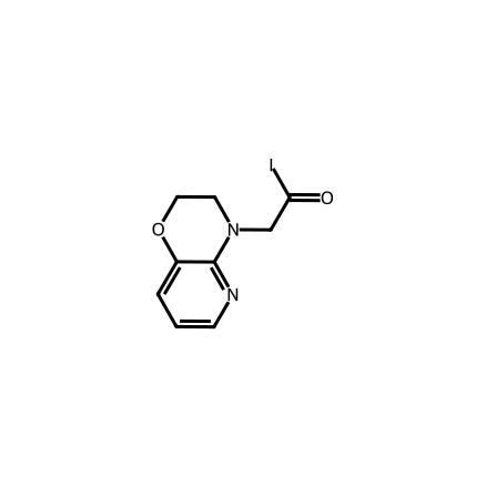 O=C(I)CN1CCOc2cccnc21